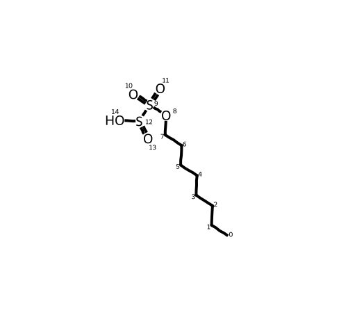 CCCCCCCCOS(=O)(=O)S(=O)O